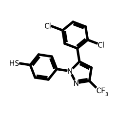 FC(F)(F)c1cc(-c2cc(Cl)ccc2Cl)n(-c2ccc(S)cc2)n1